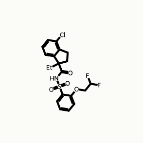 CCC1(C(=O)NS(=O)(=O)c2ccccc2OCC(F)F)CCc2c(Cl)cccc21